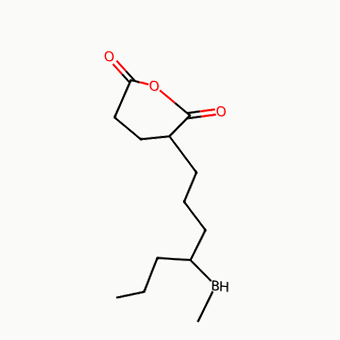 CBC(CCC)CCCC1CCC(=O)OC1=O